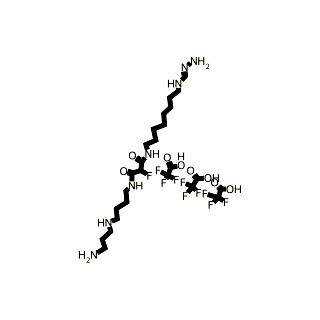 NCCCNCCCCNC(=O)C(F)C(=O)NCCCCCCCCNC=NN.O=C(O)C(F)(F)F.O=C(O)C(F)(F)F.O=C(O)C(F)(F)F